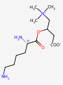 C[N+](C)(C)CC(CC(=O)[O-])OC(=O)[C@@H](N)CCCCN